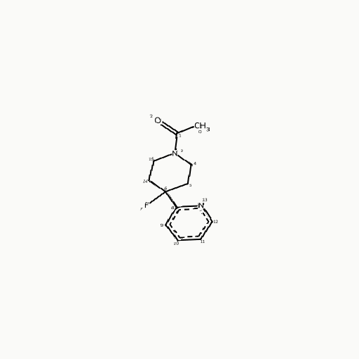 CC(=O)N1CCC(F)(c2ccccn2)CC1